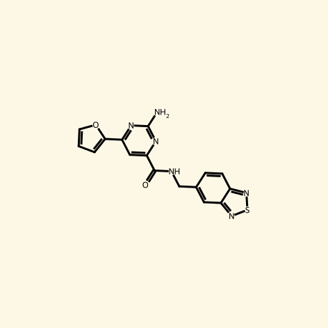 Nc1nc(C(=O)NCc2ccc3nsnc3c2)cc(-c2ccco2)n1